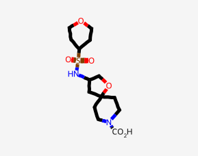 O=C(O)N1CCC2(CC1)CC(NS(=O)(=O)C1CCOCC1)CO2